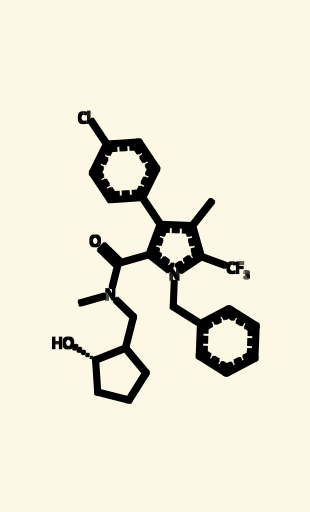 Cc1c(-c2ccc(Cl)cc2)c(C(=O)N(C)CC2CCC[C@@H]2O)n(Cc2ccccc2)c1C(F)(F)F